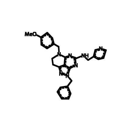 COc1ccc(CN2CCc3nn(Cc4ccccc4)c4nc(NCc5cccnc5)nc2c34)cc1